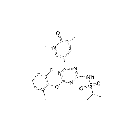 Cc1cccc(F)c1Oc1nc(NS(=O)(=O)C(C)C)nc(-c2cc(C)c(=O)n(C)c2)n1